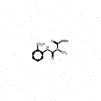 CNC(=O)N(C)C(=O)Nc1ccccc1C(=O)O